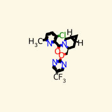 Cc1ccc(Cl)c(C(=O)N2C[C@@H]3C[C@@H]3C[C@H]2COc2ncc(C(F)(F)F)cn2)n1